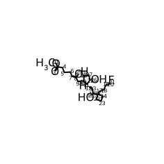 COC(=O)CCC/C=C1/C[C@@H]2[C@@H](/C=C/[C@@H](O)C3(CCCCF)CCC3)[C@H](O)C[C@H]2O1